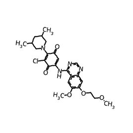 COCCOc1cc2ncnc(NC3=CC(=O)C(N4CC(C)CC(C)C4)=C(Cl)C3=O)c2cc1OC